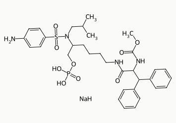 COC(=O)NC(C(=O)NCCCCC(COP(=O)(O)O)N(CC(C)C)S(=O)(=O)c1ccc(N)cc1)C(c1ccccc1)c1ccccc1.[NaH]